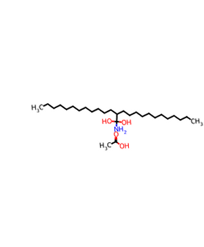 CC(=O)O.CCCCCCCCCCCCC(CCCCCCCCCCCC)C(N)(O)O